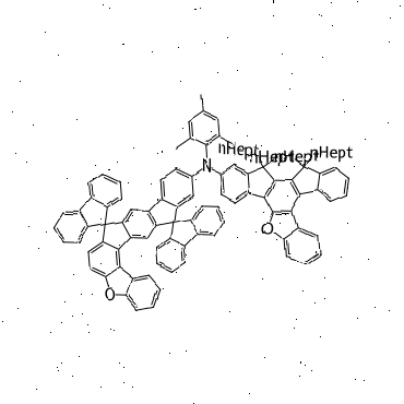 CCCCCCCC1(CCCCCCC)c2cc(N(c3ccc4c(c3)C3(c5ccccc5-c5ccccc53)c3cc5c(cc3-4)C3(c4ccccc4-c4ccccc43)c3ccc4oc6ccccc6c4c3-5)c3c(C)cc(C)cc3C)ccc2-c2c1c1c(c3c2oc2ccccc23)-c2ccccc2C1(CCCCCCC)CCCCCCC